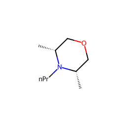 CCCN1[C@H](C)COC[C@@H]1C